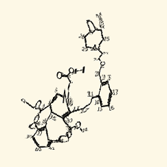 COC(=O)C1=CN(CC(=O)O)C(CCc2ccccc2COCCN2CCOCC2)=C(C(=O)OC)C1c1c(Cl)cccc1Cl